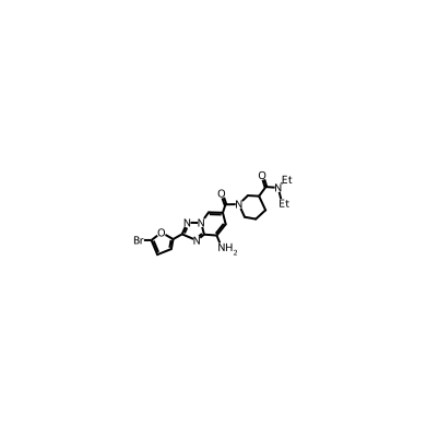 CCN(CC)C(=O)C1CCCN(C(=O)c2cc(N)c3nc(-c4ccc(Br)o4)nn3c2)C1